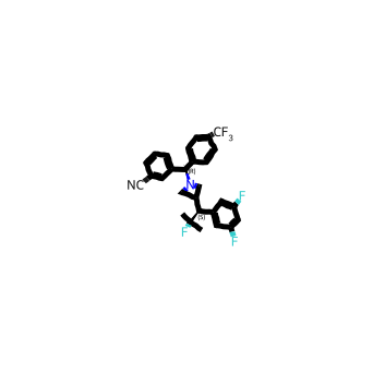 CC(C)(F)[C@H](c1cc(F)cc(F)c1)C1CN([C@H](c2ccc(C(F)(F)F)cc2)c2cccc(C#N)c2)C1